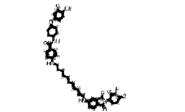 N#Cc1ccc(OC2CCC(NC(=O)c3ccc(NCCCCCCCCCCCNc4ccc5c(c4)C(=O)N(C4CCC(=O)NC4=O)C5=O)cc3)CC2)cc1Cl